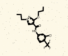 CCCOc1nn(CCC)cc1C(=O)Nc1ccc(C(F)(F)F)c(Cl)c1